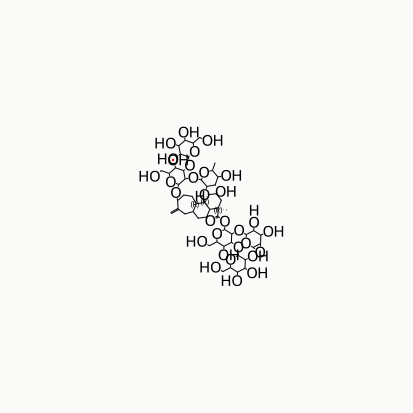 C=C1CC2CCC3[C@](C)(C(=O)OC4OC(CO)C(O)C(OC5OC(CO)C(O)C(O)C5O)C4OC4OC5OC5C(O)C4O)CCC[C@]34OC3C(OC(C)C(O)C3O)OC3C(OC1CC[C@H]24)OC(CO)C(O)C3OC1OC(CO)C(O)C(O)C1O